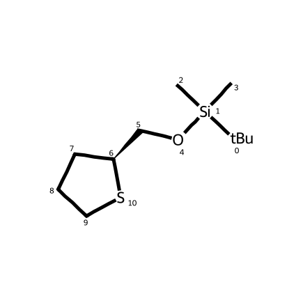 CC(C)(C)[Si](C)(C)OC[C@@H]1CCCS1